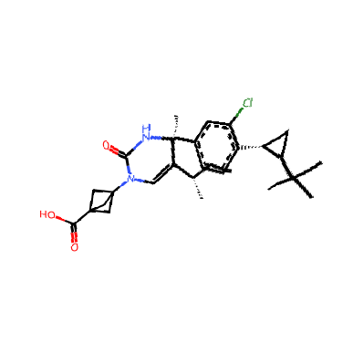 CC[C@H](C)C1=CN(C23CC(C(=O)O)(C2)C3)C(=O)N[C@@]1(C)c1ccc([C@@H]2CC2C(C)(C)C)c(Cl)c1